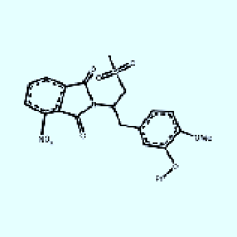 CCOc1cc(CC(CS(C)(=O)=O)N2C(=O)c3cccc([N+](=O)[O-])c3C2=O)ccc1OC